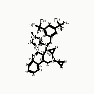 Cn1nnc(N(Cc2cc(C(F)(F)F)cc(C(F)(F)F)c2)Cc2cnc3ccccc3c2CN(C2CC2)C2CC2)n1